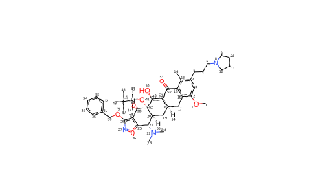 COc1cc(CCCN2CCCC2)c(C)c2c1C[C@H]1C[C@H]3[C@H](N(C)C)c4onc(OCc5ccccc5)c4C(=O)[C@@]3(O[Si](C)(C)C(C)(C)C)C(O)=C1C2=O